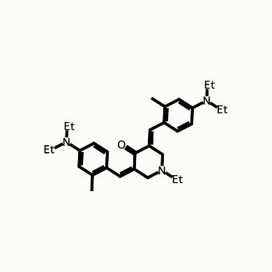 CCN1CC(=Cc2ccc(N(CC)CC)cc2C)C(=O)C(=Cc2ccc(N(CC)CC)cc2C)C1